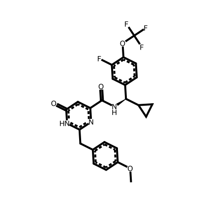 COc1ccc(Cc2nc(C(=O)N[C@@H](c3ccc(OC(F)(F)F)c(F)c3)C3CC3)cc(=O)[nH]2)cc1